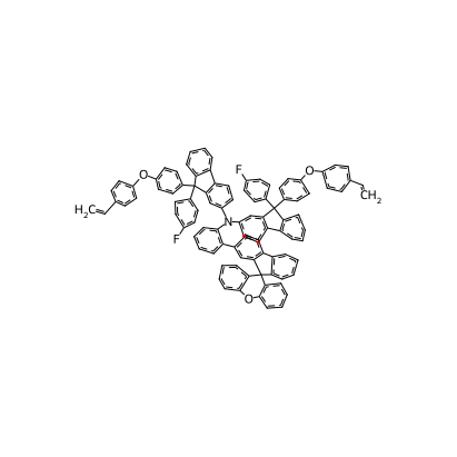 C=Cc1ccc(Oc2ccc(C3(c4ccc(F)cc4)c4ccccc4-c4ccc(N(c5ccc6c(c5)C(c5ccc(F)cc5)(c5ccc(Oc7ccc(C=C)cc7)cc5)c5ccccc5-6)c5ccccc5-c5ccc6c(c5)C5(c7ccccc7Oc7ccccc75)c5ccccc5-6)cc43)cc2)cc1